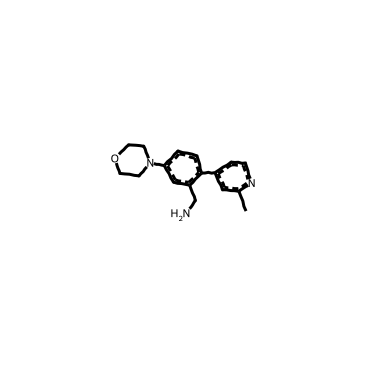 Cc1cc(-c2ccc(N3CCOCC3)cc2CN)ccn1